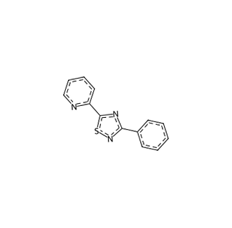 c1ccc(-c2nsc(-c3ccccn3)n2)cc1